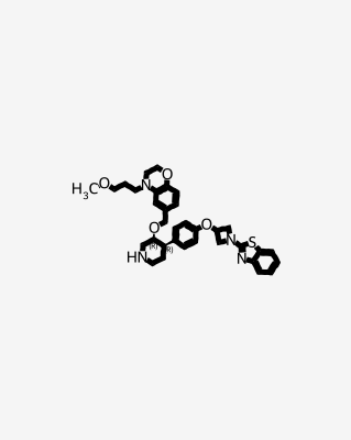 COCCCN1CCOc2ccc(CO[C@H]3CNCC[C@@H]3c3ccc(OC4CN(c5nc6ccccc6s5)C4)cc3)cc21